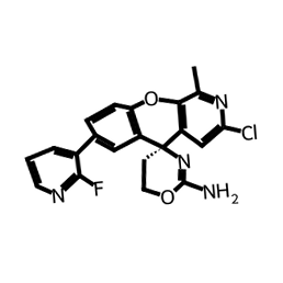 Cc1nc(Cl)cc2c1Oc1ccc(-c3cccnc3F)cc1[C@@]21CCOC(N)=N1